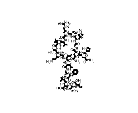 CC[C@H](C)[C@H](NC(=O)[C@H](CO)NC(=O)[C@@H](NC(=O)[C@@H](NC(=O)[C@H](Cc1ccccc1)NC(=O)[C@H](C)NC(=O)[C@@H](NC(=O)[C@@H](NC(=O)[C@H](CCCCN)NC(=O)[C@@H](NC(=O)[C@@H](N(C)C(=O)[C@@H](NC(=O)[C@H](CCCNC(=N)N)NC(=O)[C@H](CS)NC(=O)[C@H](Cc1c[nH]cn1)NC(=O)CNC(=O)[C@H](CCC(N)=O)NC(=O)[C@H](CCC(N)=O)NC(=O)[C@@H]1CCCN1)C(C)C)C(C)(C)C)[C@@H](C)O)[C@@H](C)CC)[C@@H](C)CC)C(C)C)[C@@H](C)O)C(=O)O